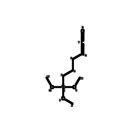 C[O][Ti]([CH2]CCN=C=O)([O]C)[O]C